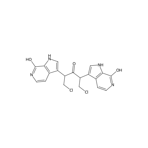 O=C(C(CCl)c1c[nH]c2c(O)nccc12)C(CCl)c1c[nH]c2c(O)nccc12